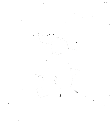 C[C@H](C1CC1)[C@@H](O)C(=O)[N+]1(C(=O)NCc2cc(Cl)ccc2CN)CCC1